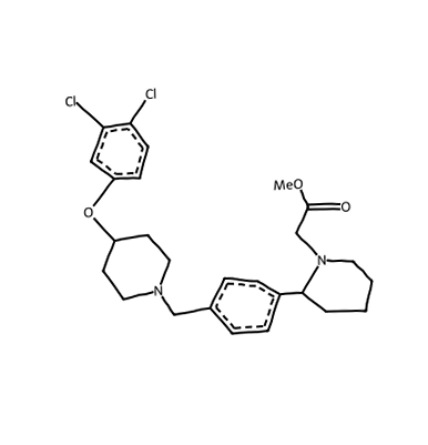 COC(=O)CN1CCCCC1c1ccc(CN2CCC(Oc3ccc(Cl)c(Cl)c3)CC2)cc1